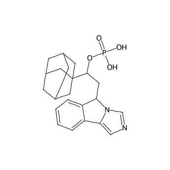 O=P(O)(O)OC(CC1c2ccccc2-c2cncn21)C12CC3CC(CC(C3)C1)C2